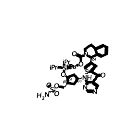 CC(C)[Si](O[C@H]1C[C@H](Nc2ncncc2C(=O)c2cc([C@@H]3c4ccccc4CCN3C(=O)OC(C)(C)C)cs2)C[C@@H]1COS(N)(=O)=O)(C(C)C)C(C)C